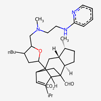 CCCCC1CC(C23C[C@@H]4[C@H](C)CC[C@H]4C4(C=O)CC2C=C(C(C)C)C34C(=O)O)OC1CN(C)CCNc1ccccn1